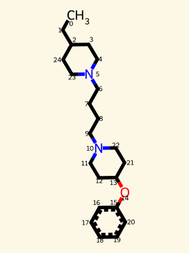 CCC1CCN(CCCCN2CCC(Oc3ccccc3)CC2)CC1